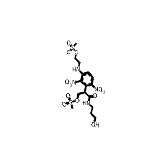 CS(=O)(=O)OCCNc1ccc([N+](=O)[O-])c(C(COS(C)(=O)=O)C(=O)NCCCO)c1[N+](=O)[O-]